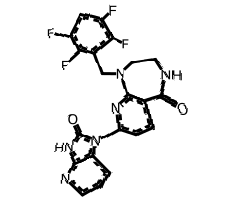 O=C1NCCN(Cc2c(F)c(F)cc(F)c2F)c2nc(-n3c(=O)[nH]c4ncccc43)ccc21